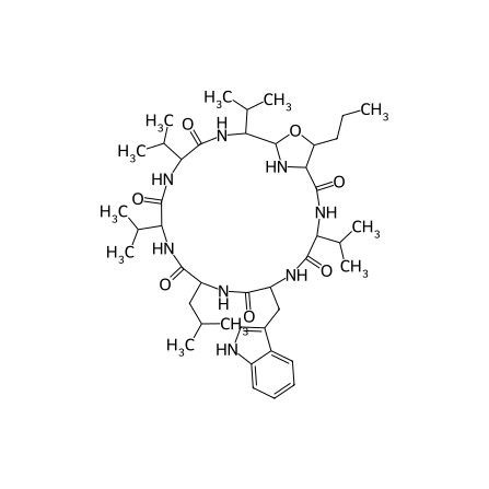 CCCC1OC2NC1C(=O)NC(C(C)C)C(=O)NC(Cc1c[nH]c3ccccc13)C(=O)NC(CC(C)C)C(=O)NC(C(C)C)C(=O)NC(C(C)C)C(=O)NC2C(C)C